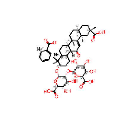 CC1(C)[C@@H](O[C@H]2O[C@H](C(=O)O)[C@@H](O)[C@H](O)[C@H]2O[C@@H]2O[C@H](C(=O)O)[C@@H](O)[C@H](O)[C@H]2O)CC[C@]2(C)[C@H]3C(=O)C=C4[C@@H]5C[C@@](C)(C(=O)O)CC[C@]5(C)CC[C@@]4(C)[C@]3(C)CC[C@@H]12.O=C([O-])c1ccccc1.[Na+]